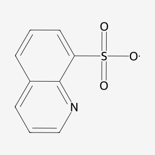 [O]S(=O)(=O)c1cccc2cccnc12